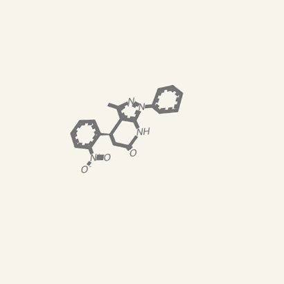 Cc1nn(-c2ccccc2)c2c1[C@H](c1ccccc1[N+](=O)[O-])CC(=O)N2